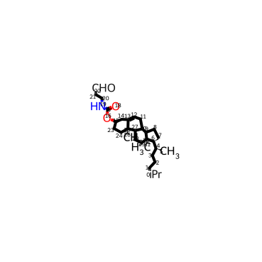 CC(C)CCC[C@@H](C)[C@H]1CCC2C3CC=C4CC(OC(=O)NCCC=O)CC[C@]4(C)C3CC[C@@]21C